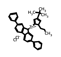 CCCC1C=C(C(C)(C)C)C=[C]1[Zr+2][CH]1c2cc(-c3ccccc3)ccc2-c2ccc(-c3ccccc3)cc21.[Cl-].[Cl-]